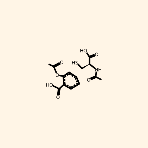 CC(=O)N[C@@H](CS)C(=O)O.CC(=O)Oc1ccccc1C(=O)O